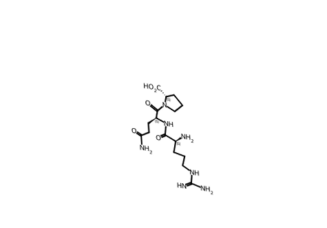 N=C(N)NCCC[C@H](N)C(=O)N[C@@H](CCC(N)=O)C(=O)N1CCC[C@H]1C(=O)O